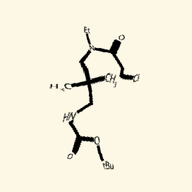 CCN(CC(C)(C)CNC(=O)OC(C)(C)C)C(=O)CCl